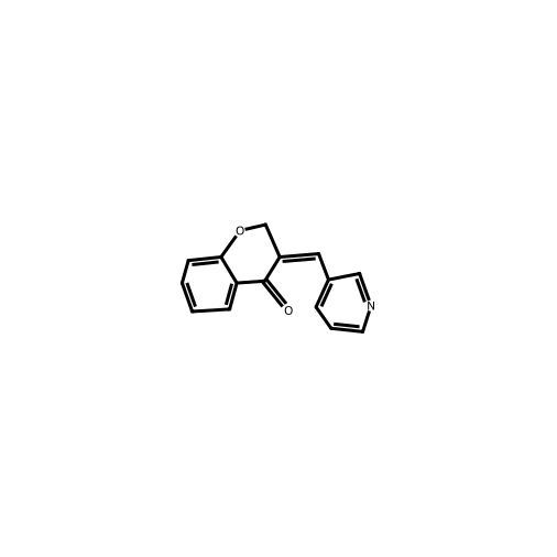 O=C1C(=Cc2cccnc2)COc2ccccc21